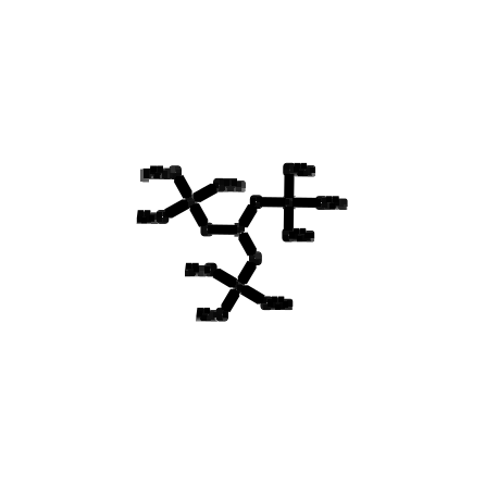 CO[Si](OC)(OC)OP(O[Si](OC)(OC)OC)O[Si](OC)(OC)OC.[P]